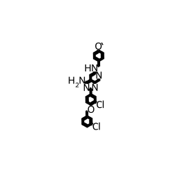 COc1ccc(CNc2cc3c(N)nc(-c4ccc(OCc5cccc(Cl)c5)c(Cl)c4)nc3cn2)cc1